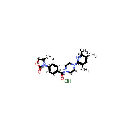 Cc1cc(C)c(N2CCN(C(=O)c3ccc(N4C(=O)OCC4C)cc3)CC2)nc1C.Cl